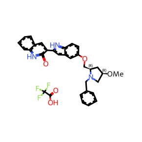 CO[C@@H]1C[C@H](COc2ccc3[nH]c(-c4cc5ccccc5[nH]c4=O)cc3c2)N(Cc2ccccc2)C1.O=C(O)C(F)(F)F